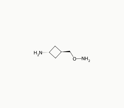 NOC[C@H]1C[C@H](N)C1